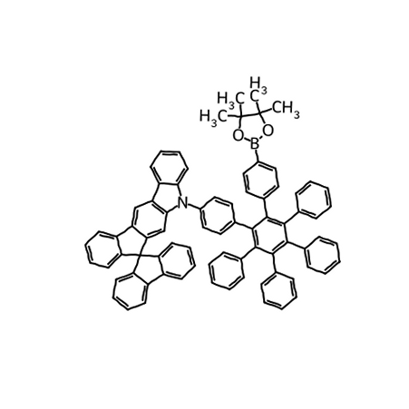 CC1(C)OB(c2ccc(-c3c(-c4ccccc4)c(-c4ccccc4)c(-c4ccccc4)c(-c4ccccc4)c3-c3ccc(-n4c5ccccc5c5cc6c(cc54)C4(c5ccccc5-c5ccccc54)c4ccccc4-6)cc3)cc2)OC1(C)C